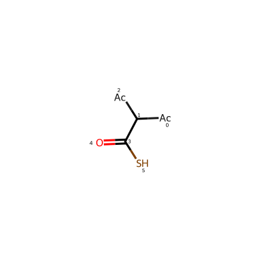 CC(=O)C(C(C)=O)C(=O)S